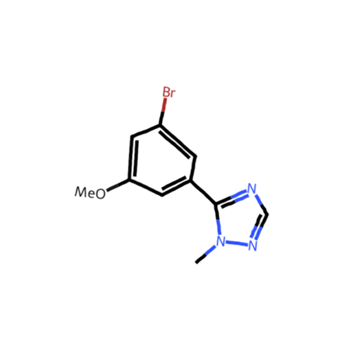 COc1cc(Br)cc(-c2ncnn2C)c1